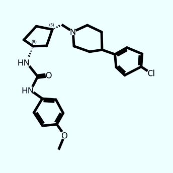 COc1ccc(NC(=O)N[C@@H]2CC[C@H](CN3CCC(c4ccc(Cl)cc4)CC3)C2)cc1